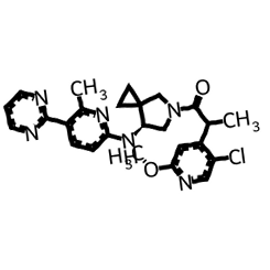 COc1cc(C(C)C(=O)N2C[C@@H](Nc3ccc(-c4ncccn4)c(C)n3)C3(CC3)C2)c(Cl)cn1